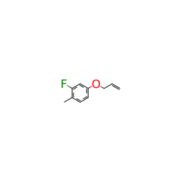 C=CCOc1ccc(C)c(F)c1